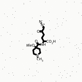 COC1(C(=O)NC(CCC(=O)C=[N+]=[N-])C(=O)O)CCN(C)CC1